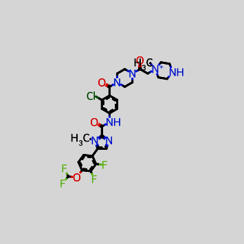 Cn1c(-c2ccc(OC(F)F)c(F)c2F)cnc1C(=O)Nc1ccc(C(=O)N2CCN(C(=O)C[N+]3(C)CCNCC3)CC2)c(Cl)c1